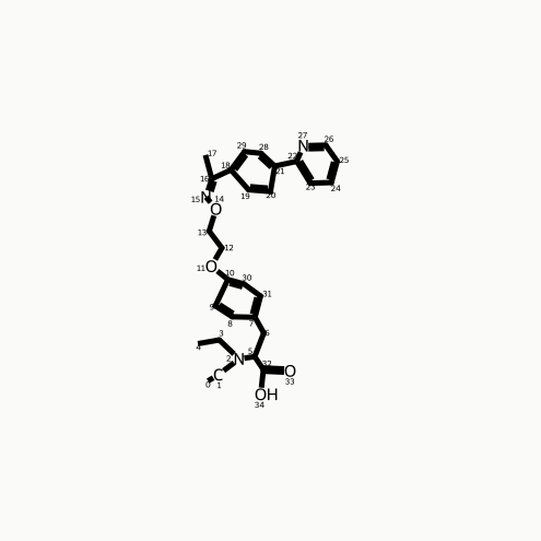 CCN(CC)C(Cc1ccc(OCCON=C(C)c2ccc(-c3ccccn3)cc2)cc1)C(=O)O